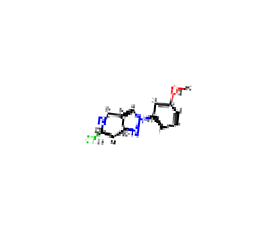 COc1cccc(-n2cc3cnc(Cl)cc3n2)c1